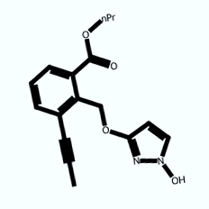 CC#Cc1cccc(C(=O)OCCC)c1COc1ccn(O)n1